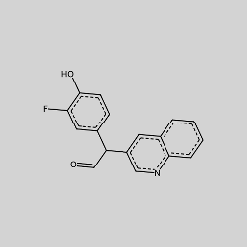 O=CC(c1ccc(O)c(F)c1)c1cnc2ccccc2c1